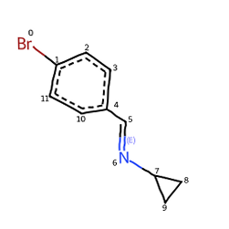 Brc1ccc(/C=N/C2CC2)cc1